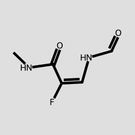 CNC(=O)/C(F)=C\NC=O